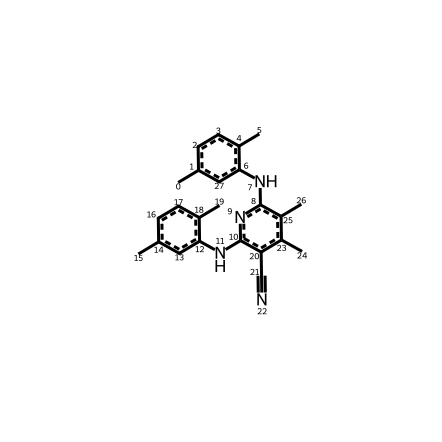 Cc1ccc(C)c(Nc2nc(Nc3cc(C)ccc3C)c(C#N)c(C)c2C)c1